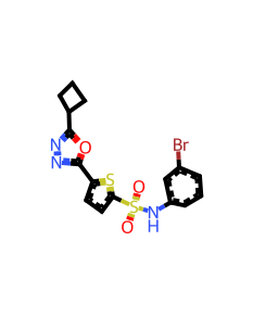 O=S(=O)(Nc1cccc(Br)c1)c1ccc(-c2nnc(C3CCC3)o2)s1